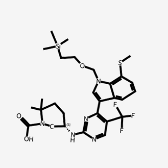 CSc1cccc2c(-c3nc(N[C@H]4CCC(C)(C)N(C(=O)O)C4)ncc3C(F)(F)F)cn(COCC[Si](C)(C)C)c12